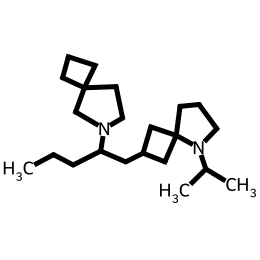 CCCC(CC1CC2(CCCN2C(C)C)C1)N1CCC2(CCC2)C1